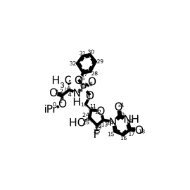 CC(C)OC(=O)[C@H](C)N[P@](=O)(OC[C@H]1OC(n2ccc(=O)[nH]c2=O)[C@H](F)[C@@H]1O)Oc1ccccc1